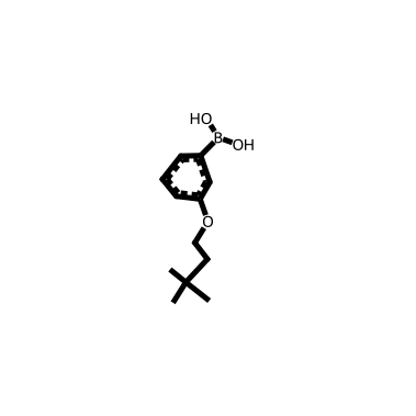 CC(C)(C)CCOc1cccc(B(O)O)c1